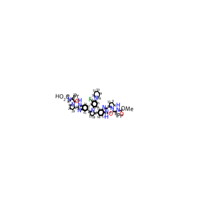 COC(=O)N[C@H](C(=O)N1CCC[C@H]1c1nc2cc([C@H]3CC[C@H](c4ccc5[nH]c([C@@H]6CCCN6C(=O)[C@H](C(C)C)N(C)C(=O)O)nc5c4)N3c3ccc(N4CCCCC4)c(F)c3)ccc2[nH]1)C(C)C